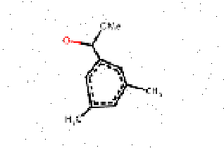 COC([O])c1cc(C)cc(C)c1